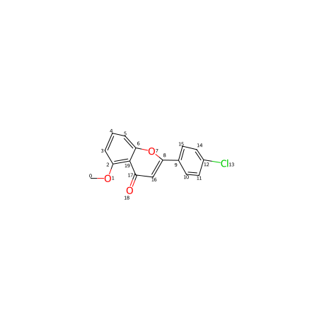 COc1cccc2oc(-c3ccc(Cl)cc3)cc(=O)c12